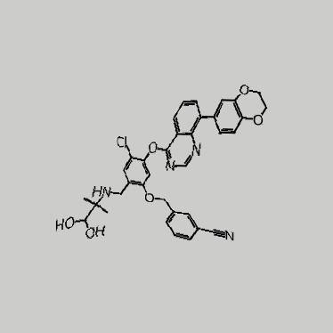 CC(C)(NCc1cc(Cl)c(Oc2ncnc3c(-c4ccc5c(c4)OCCO5)cccc23)cc1OCc1cccc(C#N)c1)C(O)O